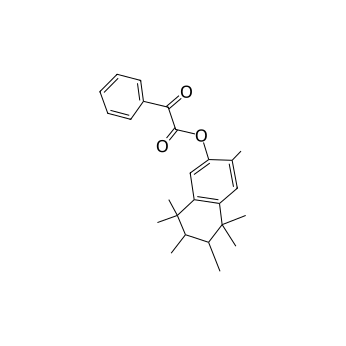 Cc1cc2c(cc1OC(=O)C(=O)c1ccccc1)C(C)(C)C(C)C(C)C2(C)C